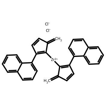 C=C1C=CC(c2cccc3ccccc23)=[C]1[Zr+2][C]1=C(c2cccc3ccccc23)C=CC1=C.[Cl-].[Cl-]